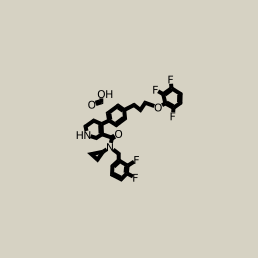 O=C(C1=C(c2ccc(CCCOc3c(F)ccc(F)c3F)cc2)CCNC1)N(Cc1cccc(F)c1F)C1CC1.O=CO